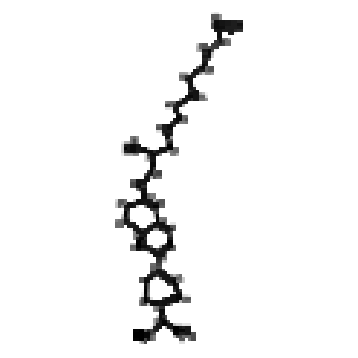 CN(C)c1ccc(-c2ccc3cc(OCC(O)COCCOCCOCC(=O)O)ccc3n2)cc1